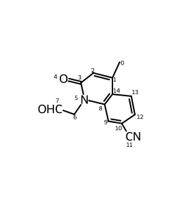 Cc1cc(=O)n(CC=O)c2cc(C#N)ccc12